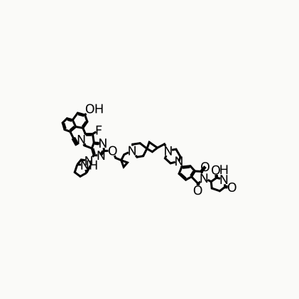 C#Cc1cccc2cc(O)cc(-c3ncc4c(N5CC6CCC(C5)N6)nc(OCC5(CN6CCC7(CC6)CC(CN6CCN(c8ccc9c(c8)C(=O)N(C8CCC(=O)NC8=O)C9=O)CC6)C7)CC5)nc4c3F)c12